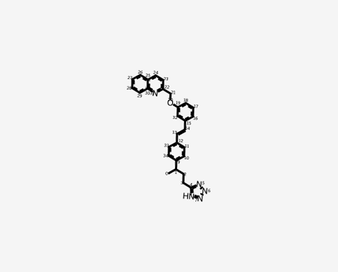 CC(CCc1nnn[nH]1)c1ccc(C=Cc2cccc(OCc3ccc4ccccc4n3)c2)cc1